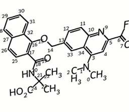 CN(C)c1cc(C(=O)F)nc2ccc(COc3c(C(=O)NC(C)(C)C(=O)O)ccc4ccccc34)cc12